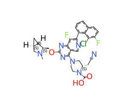 CN1C[C@H]2C[C@H]2[C@H]1COc1nc(N2CCN(C(=O)O)[C@@H](CC#N)C2)c2cnc(-c3cccc4ccc(F)c(Cl)c34)c(F)c2n1